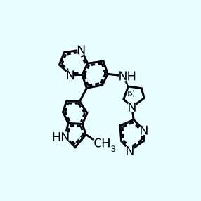 Cc1c[nH]c2ccc(-c3cc(N[C@H]4CCN(c5ccncn5)C4)cc4nccnc34)cc12